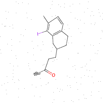 Cc1ccc2c(c1I)CC(CCC(=O)C(C)(C)C)CC2